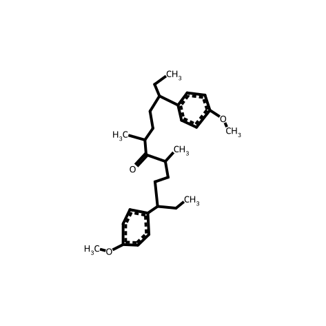 CCC(CCC(C)C(=O)C(C)CCC(CC)c1ccc(OC)cc1)c1ccc(OC)cc1